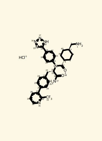 Cl.NC[C@H]1CC[C@H](C(=O)N(c2ccc(-c3nnn[nH]3)cc2)[C@@H](Cc2ccc(-c3cccnc3C(F)(F)F)cc2)C(N)=O)CC1